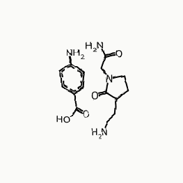 NCCC1CCN(CC(N)=O)C1=O.Nc1ccc(C(=O)O)cc1